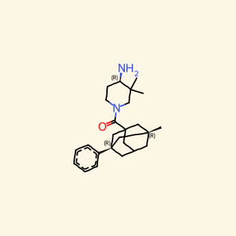 CC1(C)CN(C(=O)C23CC4C[C@@](C)(C2)C[C@](c2ccccc2)(C4)C3)CC[C@H]1N